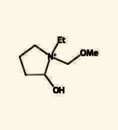 CC[N+]1(COC)CCCC1O